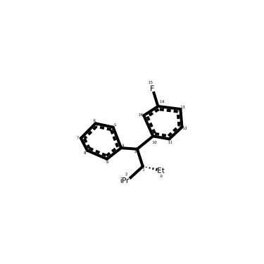 CC[C@H](C(C)C)C(c1ccccc1)c1cccc(F)c1